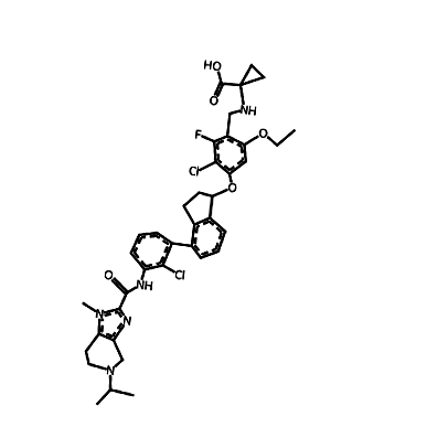 CCOc1cc(OC2CCc3c(-c4cccc(NC(=O)c5nc6c(n5C)CCN(C(C)C)C6)c4Cl)cccc32)c(Cl)c(F)c1CNC1(C(=O)O)CC1